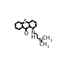 CN(C)CCNc1cccc2sc3ccccc3c(=O)c12